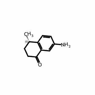 C[C@H]1CCC(=O)c2cc(N)ccc21